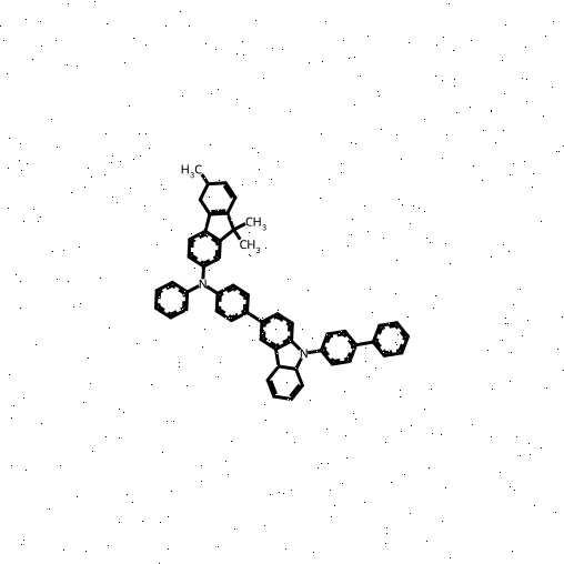 CC1C=CC2=C(C1)c1ccc(N(c3ccccc3)c3ccc(-c4ccc5c(c4)C4C=CC=CC4N5c4ccc(-c5ccccc5)cc4)cc3)cc1C2(C)C